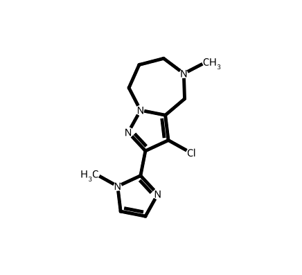 CN1CCCn2nc(-c3nccn3C)c(Cl)c2C1